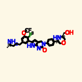 C[C@H](N)CCCc1cc(OC(F)(F)F)c(F)c(-c2cc3cn(-c4ccc([C@@H]5COC[C@@H](CO)N5)cc4)c(=O)nc3[nH]2)c1